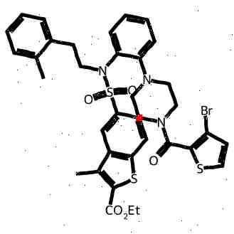 CCOC(=O)c1sc2ccc(S(=O)(=O)N(CCc3ccccc3C)c3ccccc3N3CCN(C(=O)c4sccc4Br)CC3)cc2c1C